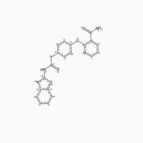 NC(=O)c1cccnc1Oc1ccc(CC(=O)Nc2nc3ccccc3o2)cc1